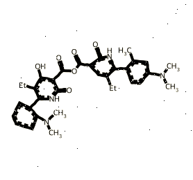 CCc1cc(C(=O)OC(=O)c2c(O)c(CC)c(-c3ccccc3N(C)C)[nH]c2=O)c(=O)[nH]c1-c1ccc(N(C)C)cc1C